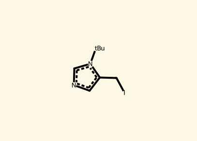 CC(C)(C)n1cncc1CI